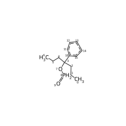 CCCC(CCC)(O[PH2]=O)c1ccccc1